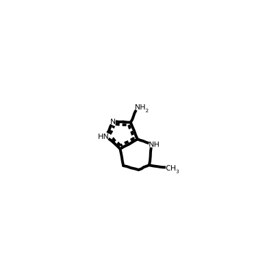 CC1CCc2[nH]nc(N)c2N1